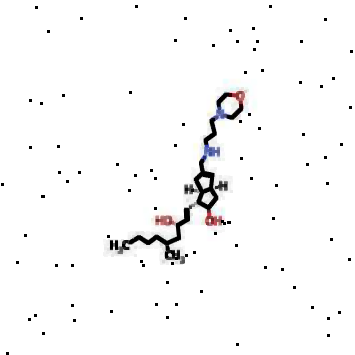 CCCC[C@H](C)C[C@H](O)/C=C/[C@@H]1[C@H]2CC(CNCCCN3CCOCC3)=C[C@H]2C[C@H]1O